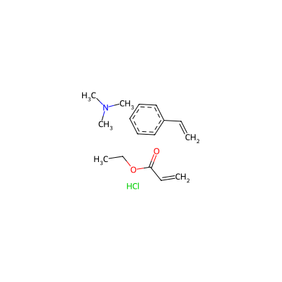 C=CC(=O)OCC.C=Cc1ccccc1.CN(C)C.Cl